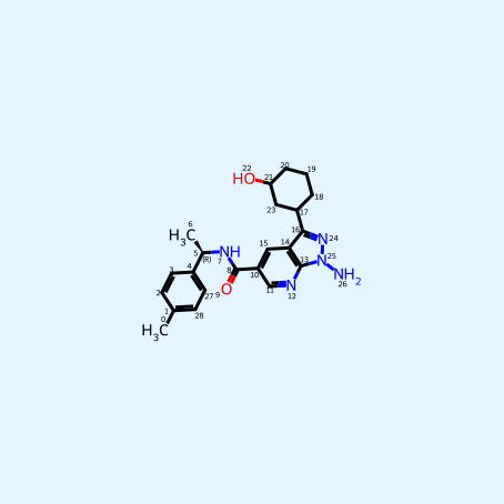 Cc1ccc([C@@H](C)NC(=O)c2cnc3c(c2)c(C2CCCC(O)C2)nn3N)cc1